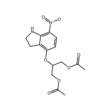 CC(=O)OCC(COC(C)=O)Oc1ccc([N+](=O)[O-])c2c1CCN2